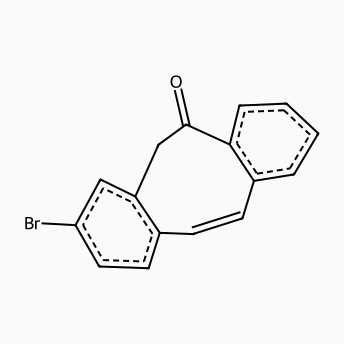 O=C1Cc2cc(Br)ccc2C=Cc2ccccc21